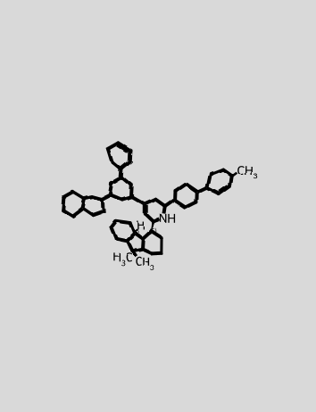 CC1C=CC(C2CCC(C3CC(C4CC(C5CC=CCC5)CC(C5CCC6CCCCC6C5)C4)=CC([C@H]4CCCC5C4[C@@H]4CCCCC4C5(C)C)N3)CC2)CC1